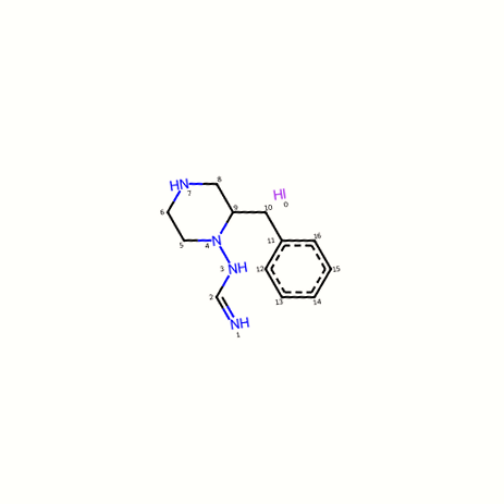 I.N=CNN1CCNCC1Cc1ccccc1